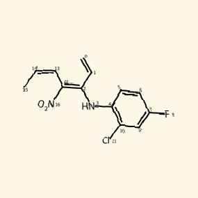 C=C/C(Nc1ccc(F)cc1Cl)=C(\C=C/C)[N+](=O)[O-]